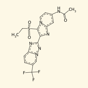 CCS(=O)(=O)c1c(-c2nc3ccc(C(F)(F)F)cn3n2)nc2cc(NC(C)=O)ccn12